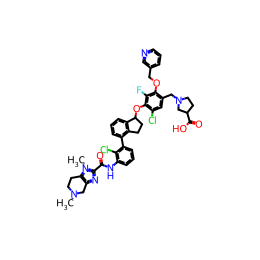 CN1CCc2c(nc(C(=O)Nc3cccc(-c4cccc5c4CCC5Oc4c(Cl)cc(CN5CCC(C(=O)O)C5)c(OCc5cccnc5)c4F)c3Cl)n2C)C1